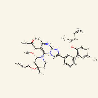 C=CCOC1(C)CCN(c2c([C@H](OC(C)(C)C)C(=O)OC)c(C)nc3nc(-c4cccc(-c5cc(C)ccc5O[C@@H](C)CC=C)c4)cn23)CC1